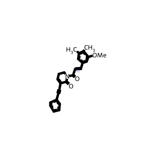 COc1cc(/C=C/C(=O)N2CCC=C(C#Cc3ccccc3)C2=O)cc(C)c1C